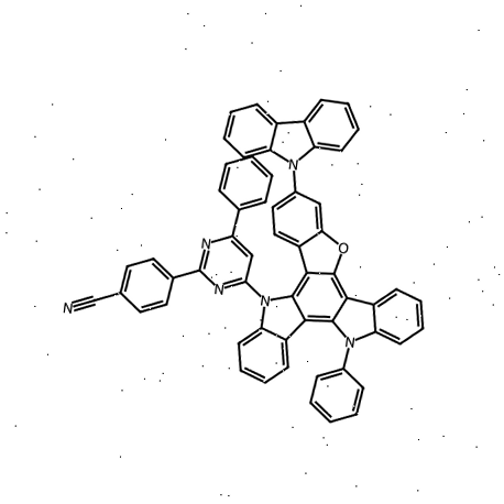 N#Cc1ccc(-c2nc(-c3ccccc3)cc(-n3c4ccccc4c4c5c(c6ccccc6n5-c5ccccc5)c5oc6cc(-n7c8ccccc8c8ccccc87)ccc6c5c43)n2)cc1